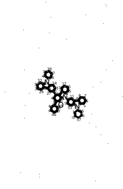 C1=CC(n2c3ccccc3c3cc(-n4c5ccccc5c5c(-c6ccc7c(c6)c6ccccc6n7-c6ccccc6)cc6c7ccccc7oc6c54)ccc32)=CCC1